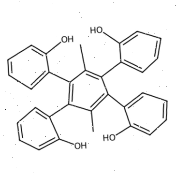 Cc1c(-c2ccccc2O)c(-c2ccccc2O)c(C)c(-c2ccccc2O)c1-c1ccccc1O